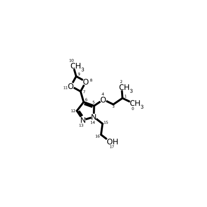 CC(C)COc1c(C2OC(C)O2)cnn1CCO